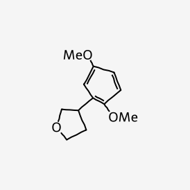 COc1ccc(OC)c(C2CCOC2)c1